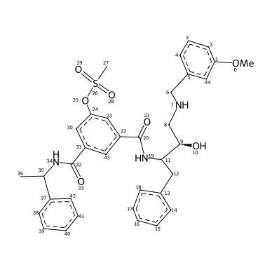 COc1cccc(CNC[C@@H](O)C(Cc2ccccc2)NC(=O)c2cc(OS(C)(=O)=O)cc(C(=O)NC(C)c3ccccc3)c2)c1